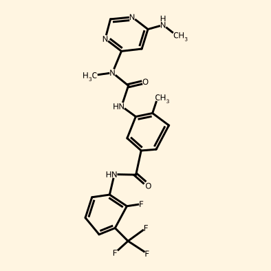 CNc1cc(N(C)C(=O)Nc2cc(C(=O)Nc3cccc(C(F)(F)F)c3F)ccc2C)ncn1